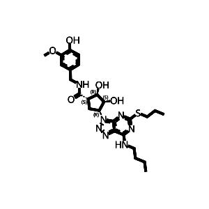 CCCCNc1nc(SCCC)nc2c1nnn2[C@@H]1C[C@H](C(=O)NCc2ccc(O)c(OC)c2)[C@@H](O)[C@H]1O